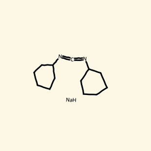 C(=NC1CCCCC1)=NC1CCCCC1.[NaH]